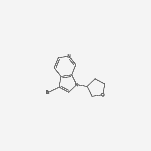 Brc1cn(C2CCOC2)c2cnccc12